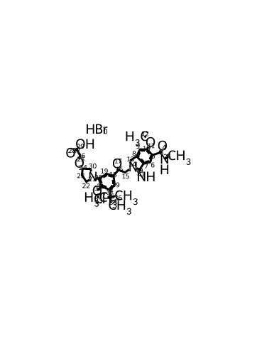 Br.CNC(=O)c1cc2c(cc1OC)CN(CC(=O)c1cc(N3CCC(OCC(=O)O)C3)c(OC)c(C(C)(C)C)c1)C2=N